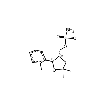 CC1(C)C[C@@H](COS(N)(=O)=O)[C@H](c2ccccc2I)O1